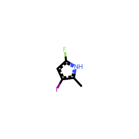 Cc1[nH]c(F)cc1I